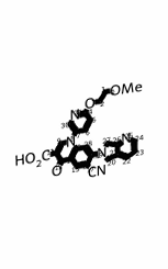 COCCOc1ccc(-n2cc(C(=O)O)c(=O)c3cc(C#N)c(N4Cc5cccnc5C4)cc32)cn1